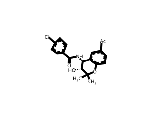 CC(=O)c1ccc2c(c1)[C@H](NC(=O)c1ccc(Cl)cc1)[C@@H](O)C(C)(C)O2